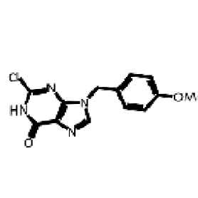 COc1ccc(Cn2cnc3c(=O)[nH]c(Cl)nc32)cc1